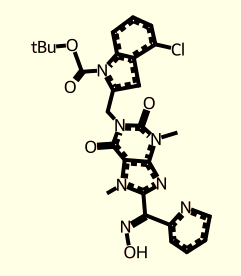 Cn1c(/C(=N/O)c2ccccn2)nc2c1c(=O)n(Cc1cc3c(Cl)cccc3n1C(=O)OC(C)(C)C)c(=O)n2C